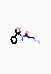 NCCC(=O)Nc1oncc1-c1ccccc1